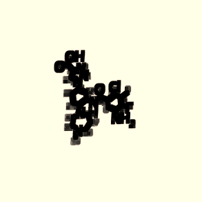 Cc1c(F)c(N)cc(C(=O)Nc2cc(-n3cc(C(=O)O)nn3)ccc2N2CCCN(C)CC2)c1Cl